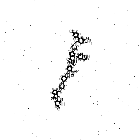 CC1(C)CCC(CN2CCN(c3ccc(C(=O)NS(=O)(=O)c4ccc(NC[C@H]5CC[C@H](N6CCN(Cc7cccc8c7CN(C7CCC(=O)NC7=O)C8=O)CC6)CC5)c([N+](=O)[O-])c4)c(Oc4cnc5[nH]ccc5c4)c3)CC2)=C(c2ccc(Cl)cc2)C1